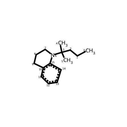 CCCC(C)(C)N1CCCc2ccccc21